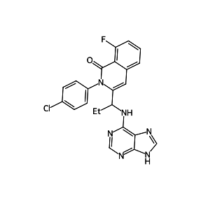 CCC(Nc1ncnc2[nH]cnc12)c1cc2cccc(F)c2c(=O)n1-c1ccc(Cl)cc1